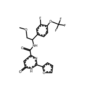 COCC(NC(=O)c1cc(=O)[nH]c(-c2ccco2)n1)c1ccc(OC(F)(F)F)c(F)c1